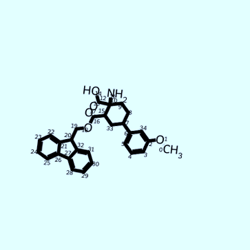 COc1cccc(C2CCC(N)(C(=O)O)C(C(=O)OCC3c4ccccc4-c4ccccc43)C2)c1